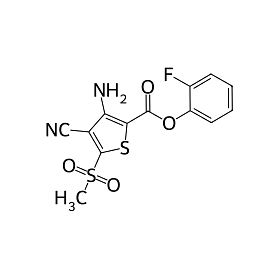 CS(=O)(=O)c1sc(C(=O)Oc2ccccc2F)c(N)c1C#N